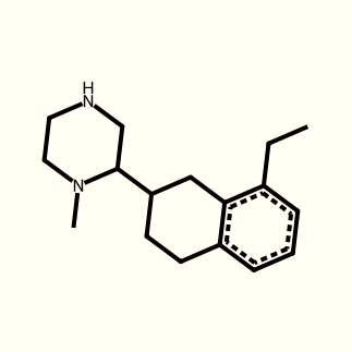 CCc1cccc2c1CC(C1CNCCN1C)CC2